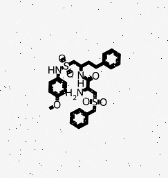 COc1ccc(NS(=O)(=O)CC(CCc2ccccc2)NC(=O)C(N)CS(=O)(=O)Cc2ccccc2)cc1